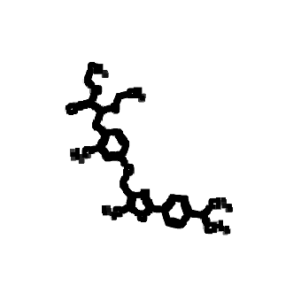 CCOC(=O)C(Cc1ccc(OCc2nc(-c3ccc(C(C)C)cc3)oc2C)cc1C)OCC